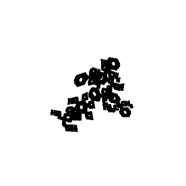 CC(C)(c1ccccc1)c1ccc(OP(O)Oc2ccc(C(C)(C)c3ccccc3)cc2C(C)(C)c2ccccc2)c(C(C)(C)c2ccccc2)c1.OCC(CO)(CO)CO.Oc1c(Cl)c(Cl)c(Cl)c(Cl)c1Cl